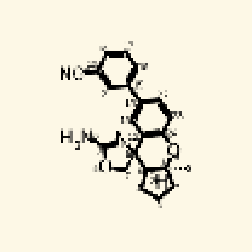 C[C@]12CCC[C@H]1[C@@]1(COC(N)=N1)c1cc(-c3cccc(C#N)c3)ccc1O2